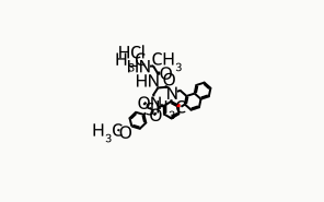 CNC(C)C(=O)NC1CN(S(=O)(=O)c2ccc(OC)cc2)c2ccccc2N(Cc2c(C)ccc3ccccc23)C1=O.Cl